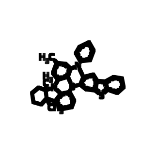 Cc1cc2c3c(c1)N1c4c(cccc4C4(C)CCCCC14C)B3c1cc3sc4ccccc4c3cc1N2c1ccccc1